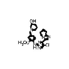 COc1cc(CN2CCCC(O)C2)ccc1Nc1ncc(Cl)c(-c2cnc3ccccn23)n1